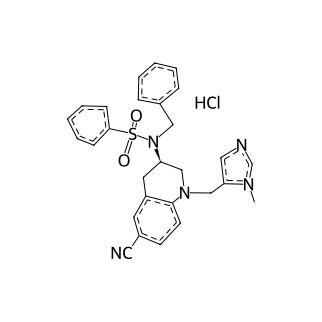 Cl.Cn1cncc1CN1C[C@H](N(Cc2ccccc2)S(=O)(=O)c2ccccc2)Cc2cc(C#N)ccc21